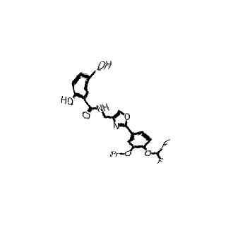 CC(C)Oc1cc(-c2nc(CNC(=O)c3cc(O)ccc3O)co2)ccc1OC(F)F